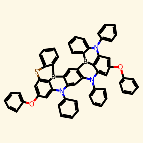 c1ccc(Oc2cc3c4c(c2)N(c2ccccc2)c2cc5c(cc2B4c2ccccc2S3)B2c3ccccc3N(c3ccccc3)c3cc(Oc4ccccc4)cc(c32)N5c2ccccc2)cc1